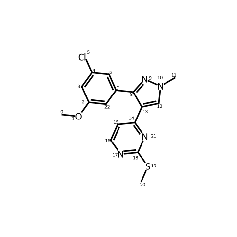 COc1cc(Cl)cc(-c2nn(C)cc2-c2ccnc(SC)n2)c1